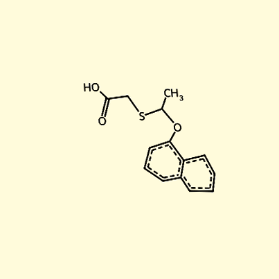 CC(Oc1cccc2ccccc12)SCC(=O)O